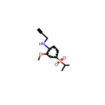 C#CCNc1ccc(S(=O)(=O)C(C)C)cc1OC